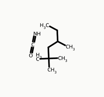 CCC(C)CC(C)(C)C.N=C=O